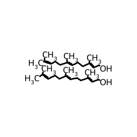 CC(C)=CCC/C(C)=C/CC/C(C)=C/CO.CC(C)=CCC/C(C)=C/CC/C(C)=C/CO